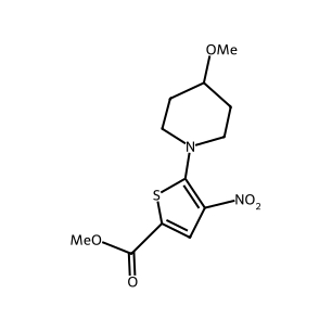 COC(=O)c1cc([N+](=O)[O-])c(N2CCC(OC)CC2)s1